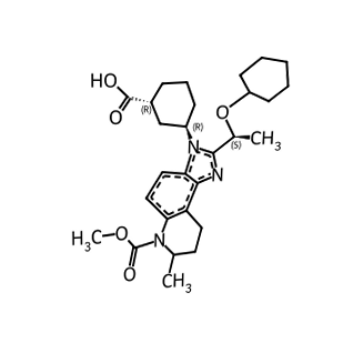 COC(=O)N1c2ccc3c(nc([C@H](C)OC4CCCCC4)n3[C@@H]3CCC[C@@H](C(=O)O)C3)c2CCC1C